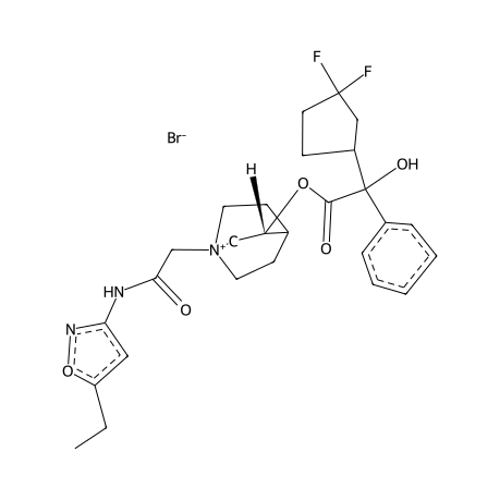 CCc1cc(NC(=O)C[N+]23CCC(CC2)[C@@H](OC(=O)C(O)(c2ccccc2)C2CCC(F)(F)C2)C3)no1.[Br-]